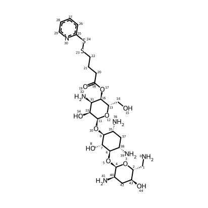 NC[C@H]1O[C@H](O[C@H]2[C@H](O)[C@@H](O[C@@H]3O[C@@H](CO)[C@H](OC(=O)CCCSSc4ccccn4)[C@H](N)[C@@H]3O)[C@H](N)C[C@@H]2N)[C@H](N)C[C@@H]1O